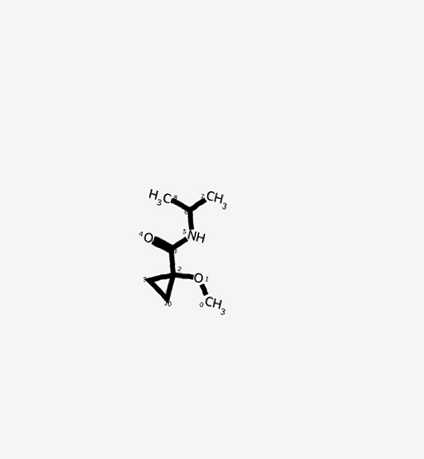 COC1(C(=O)NC(C)C)CC1